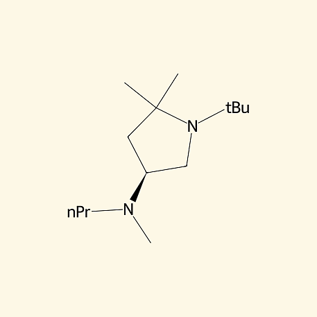 CCCN(C)[C@@H]1CN(C(C)(C)C)C(C)(C)C1